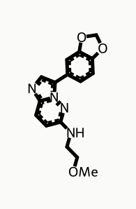 COCCNc1ccc2ncc(-c3ccc4c(c3)OCO4)n2n1